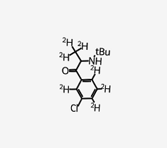 [2H]c1c([2H])c(Cl)c([2H])c(C(=O)C(NC(C)(C)C)C([2H])([2H])[2H])c1[2H]